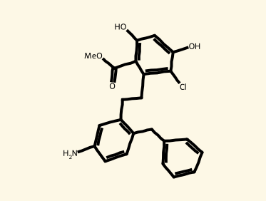 COC(=O)c1c(O)cc(O)c(Cl)c1CCc1cc(N)ccc1Cc1ccccc1